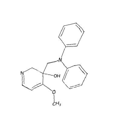 COC1=CC=NCC1(O)CN(c1ccccc1)c1ccccc1